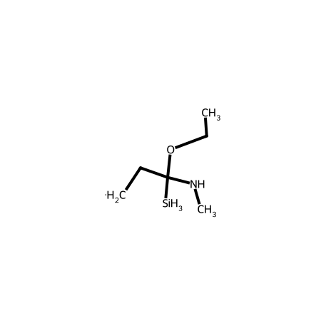 [CH2]CC([SiH3])(NC)OCC